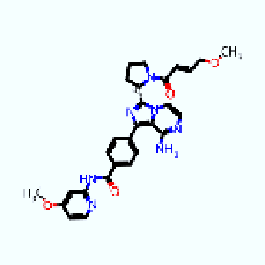 COCC=CC(=O)N1CCC[C@H]1c1nc(-c2ccc(C(=O)Nc3cc(OC)ccn3)cc2)c2c(N)nccn12